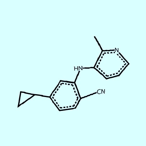 Cc1ncccc1Nc1cc(C2CC2)ccc1C#N